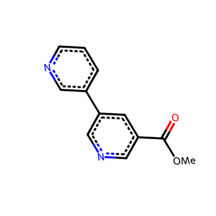 COC(=O)c1cncc(-c2cccnc2)c1